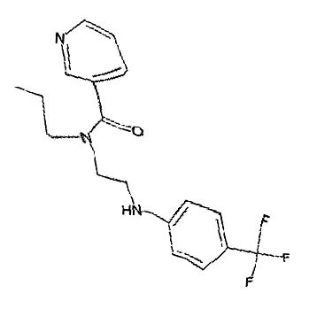 CCCN(CCNc1ccc(C(F)(F)F)cc1)C(=O)c1cccnc1